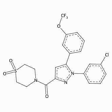 O=C(c1cc(-c2cccc(OC(F)(F)F)c2)n(-c2cccc(Cl)c2)n1)N1CCS(=O)(=O)CC1